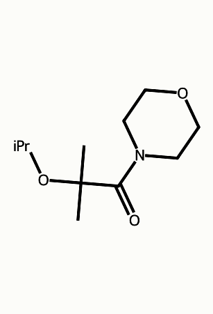 CC(C)OC(C)(C)C(=O)N1CCOCC1